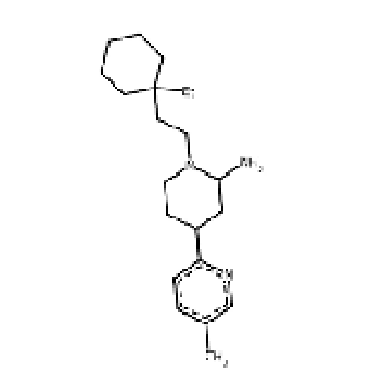 CCC1(CCN2CCC(c3ccc(C)cn3)CC2N)CCCCC1